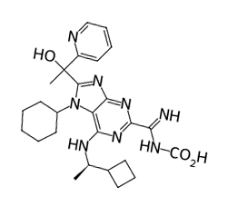 C[C@@H](Nc1nc(C(=N)NC(=O)O)nc2nc(C(C)(O)c3ccccn3)n(C3CCCCC3)c12)C1CCC1